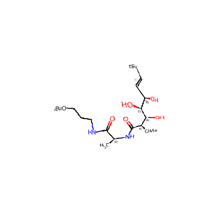 CO[C@@H](C(=O)N[C@@H](C)C(=O)NCCCOCC(C)C)[C@H](O)[C@@H](O)[C@H](O)/C=C/C(C)(C)C